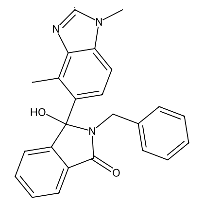 Cc1c(C2(O)c3ccccc3C(=O)N2Cc2ccccc2)ccc2c1n[c]n2C